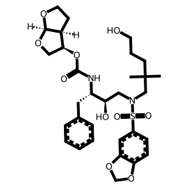 CC(C)(CCCO)CN(C[C@@H](O)[C@H](Cc1ccccc1)NC(=O)O[C@H]1CO[C@H]2OCC[C@H]21)S(=O)(=O)c1ccc2c(c1)OCO2